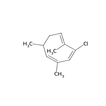 CC1=C/C(C)C/C=C(C)/C(Cl)=C\1